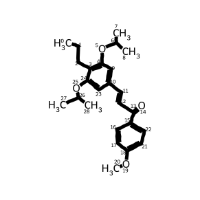 CCCc1c(OC(C)C)cc(C=CC(=O)c2ccc(OC)cc2)cc1OC(C)C